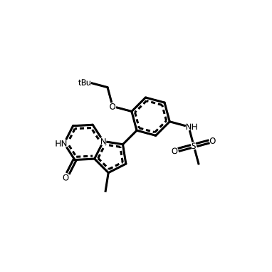 Cc1cc(-c2cc(NS(C)(=O)=O)ccc2OCC(C)(C)C)n2cc[nH]c(=O)c12